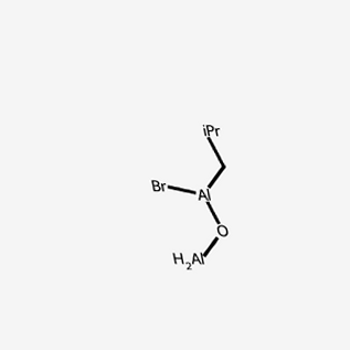 CC(C)[CH2][Al]([Br])[O][AlH2]